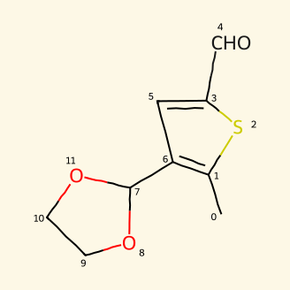 Cc1sc(C=O)cc1C1OCCO1